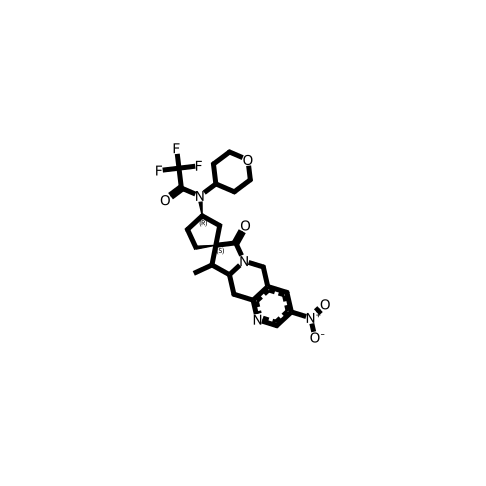 CC1C2Cc3ncc([N+](=O)[O-])cc3CN2C(=O)[C@]12CC[C@@H](N(C(=O)C(F)(F)F)C1CCOCC1)C2